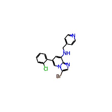 Clc1ccccc1-c1cc(NCc2ccncc2)c2ncc(Br)n2c1